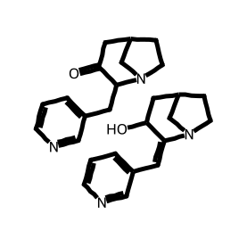 O=C1CC2CCN(C2)C1Cc1cccnc1.OC1CC2CCN(C2)C1=Cc1cccnc1